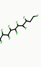 OC(F)C(F)C(F)C(F)C(F)C(F)C(F)C(F)CCF